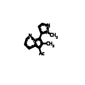 CC(=O)c1c(C)c(-c2ccnn2C)n2ncccc12